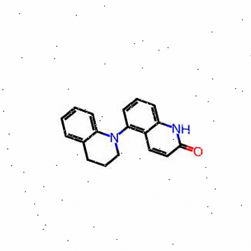 O=c1ccc2c(N3CCCc4ccccc43)cccc2[nH]1